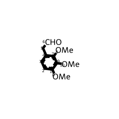 COc1ccc(CC=O)c(OC)c1OC